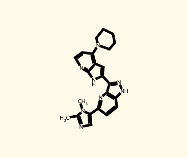 Cc1ncc(-c2ccc3[nH]nc(-c4cc5c(N6CCCCC6)ccnc5[nH]4)c3n2)n1C